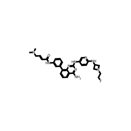 CN(C)C/C=C/C(=O)Nc1cccc(-c2cccc3c(N)nc(Nc4ccc(NC5CN(CCF)C5)nc4)nc23)c1